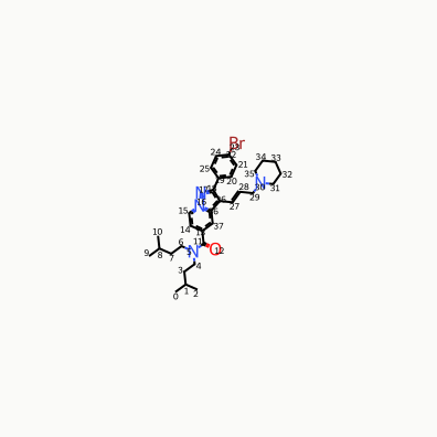 CC(C)CCN(CCC(C)C)C(=O)c1ccn2nc(-c3ccc(Br)cc3)c(C=CCN3CCCCC3)c2c1